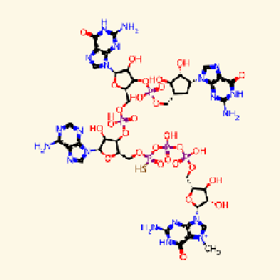 C[n+]1cn([C@@H]2O[C@H](COP(=O)(O)OP(=O)(O)OP(=O)(S)OC[C@H]3O[C@@H](n4cnc5c(N)ncnc54)[C@@H](O)C3OP(=O)(O)OC[C@H]3O[C@@H](n4cnc5c(=O)[nH]c(N)nc54)[C@@H](O)C3OP(=O)(O)OC[C@H]3C[C@@H](n4cnc5c(=O)[nH]c(N)nc54)[C@@H](O)C3O)C(O)[C@@H]2O)c2nc(N)[nH]c(=O)c21